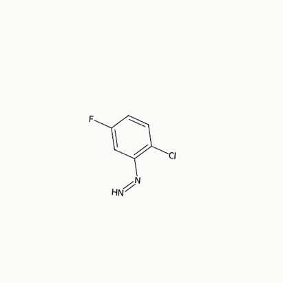 N=Nc1cc(F)ccc1Cl